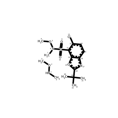 CNOC.CON(C)S(=O)(=O)c1c(Cl)ccc2nc(C(C)(C)C)oc12